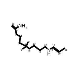 C=C(N)CCCC(C)(C)CCCCN/C=C/C